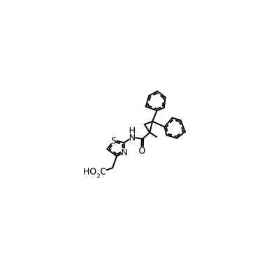 CC1(C(=O)Nc2nc(CC(=O)O)cs2)CC1(c1ccccc1)c1ccccc1